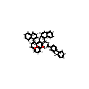 c1ccc(-c2nc(-c3ccc4c(c3)oc3ccccc34)nc(-c3c(N4c5ccc6ccccc6c5-c5cccc6cccc4c56)ccc4ccccc34)n2)cc1